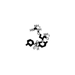 Cc1cccc(S(=O)(=O)Nc2ccc(C)n(C(CCONC(=N)N)C(N)=O)c2=O)c1